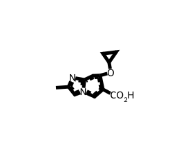 Cc1cn2cc(C(=O)O)c(OC3CC3)cc2n1